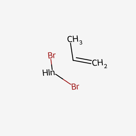 C=CC.[Br][InH][Br]